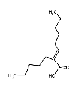 CCCCC/C=C(\CCCCC)C(=O)O